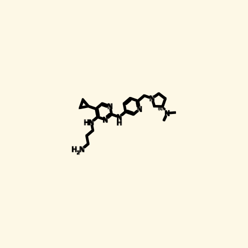 CN(C)[C@H]1CCN(Cc2ccc(Nc3ncc(C4CC4)c(NCCCN)n3)cn2)C1